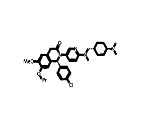 COc1cc2c(cc1OC(C)C)[C@H](c1ccc(Cl)cc1)N(c1ccc(N(C)C[C@H]3CC[C@H](N(C)C)CC3)nc1)C(=O)C2